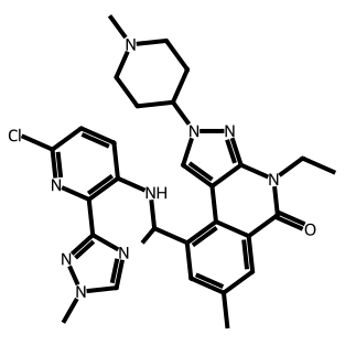 CCn1c(=O)c2cc(C)cc(C(C)Nc3ccc(Cl)nc3-c3ncn(C)n3)c2c2cn(C3CCN(C)CC3)nc21